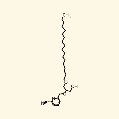 CCCCCCCCCCCCCCCCCCOCC(CO)OCc1cccc(C#N)n1